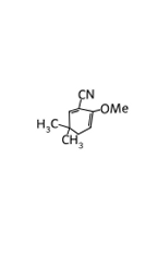 COC1=CCC(C)(C)C=C1C#N